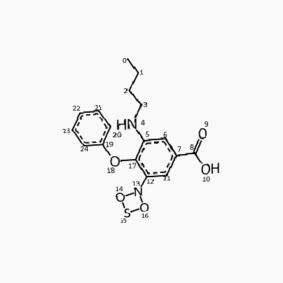 CCCCNc1cc(C(=O)O)cc(N2OSO2)c1Oc1ccccc1